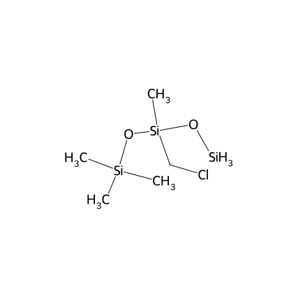 C[Si](C)(C)O[Si](C)(CCl)O[SiH3]